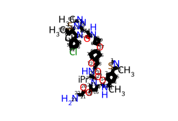 Cc1ncsc1-c1ccc([C@H](C)NC(=O)[C@@H]2C[C@@H](OC(=O)CCN)CN2C(=O)[C@@H](NC(=O)c2cc3cc(O[C@H]4C[C@@H](NC(=O)C[C@@H]5N=C(c6ccc(Cl)cc6)c6c(sc(C)c6C)-n6c(C)nnc65)C4)ccc3o2)C(C)C)cc1